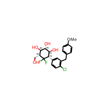 COc1ccc(Cc2cc([C@H]3[C@H](O)[C@@H](O)[C@H](O)[C@@H](CO)C3(F)F)ccc2Cl)cc1